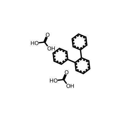 O=C(O)O.O=C(O)O.c1ccc(-c2ccccc2-c2ccccc2)cc1